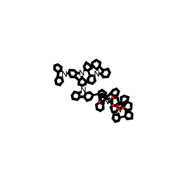 c1ccc(-n2c3ccccc3c3ccccc32)c(-c2ccccc2-n2c3ccc(-n4c5ccccc5c5ccccc54)cc3c3cc(-n4c5ccccc5c5ccc(-c6cccc7c6c6ccccc6n7-c6ccc7c8ccccc8n(-c8ccccc8-c8ccccc8-n8c9ccccc9c9c(-n%10c%11ccccc%11c%11ccccc%11%10)cccc98)c7c6)cc54)ccc32)c1